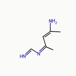 CC(/C=C(\C)N)=N/C=N